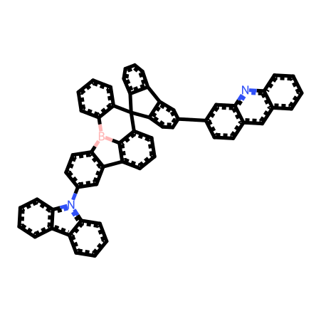 c1ccc2c(c1)B1c3ccc(-n4c5ccccc5c5ccccc54)cc3-c3cccc(c31)C21c2ccccc2-c2cc(-c3ccc4cc5ccccc5nc4c3)ccc21